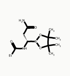 CCC(=O)N[C@H](CC(N)=O)B1OC(C)(C)C(C)(C)O1